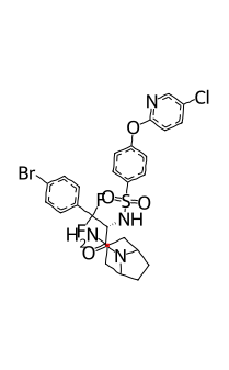 NC1CC2CCC(C1)N2C(=O)[C@@H](NS(=O)(=O)c1ccc(Oc2ccc(Cl)cn2)cc1)C(F)(F)c1ccc(Br)cc1